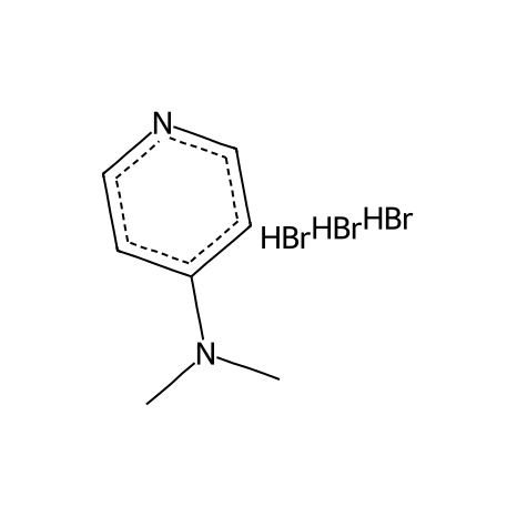 Br.Br.Br.CN(C)c1ccncc1